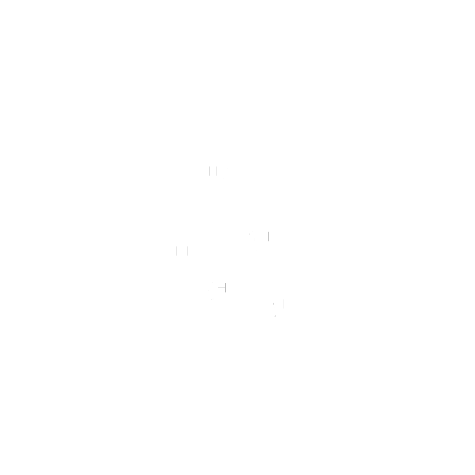 CC[SiH](CC)CC.F